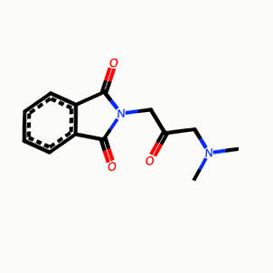 CN(C)CC(=O)CN1C(=O)c2ccccc2C1=O